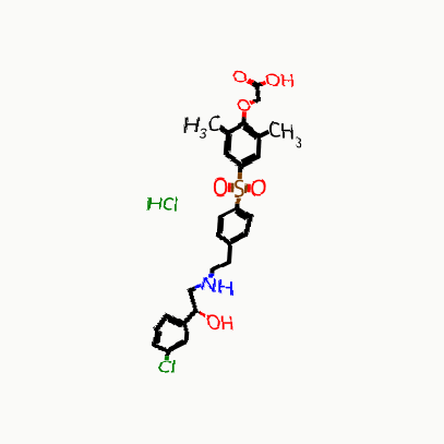 Cc1cc(S(=O)(=O)c2ccc(CCNC[C@@H](O)c3cccc(Cl)c3)cc2)cc(C)c1OCC(=O)O.Cl